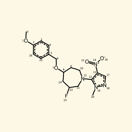 COc1ccc(COC2CCN(c3c([N+](=O)[O-])cnn3C)CC(F)C2)cc1